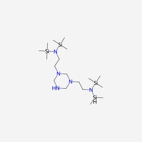 C[SiH](C)N(CCN1CNCN(CCN([Si](C)(C)C)[Si](C)(C)C)C1)[Si](C)(C)C